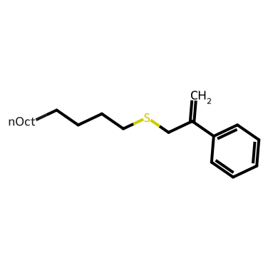 C=C(CSCCCCCCCCCCCC)c1ccccc1